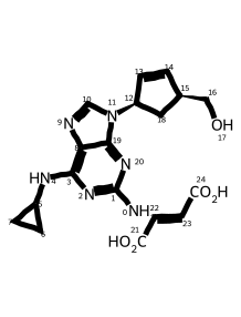 Nc1nc(NC2CC2)c2ncn([C@H]3C=C[C@@H](CO)C3)c2n1.O=C(O)C=CC(=O)O